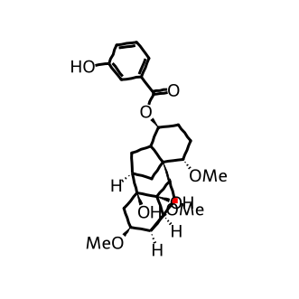 CO[C@H]1C[C@]2(O)[C@H]3CC4[C@@H](OC(=O)c5cccc(O)c5)CC[C@H](OC)[C@@]4(C3)C3C[C@H]1[C@H](OC)[C@@]32O